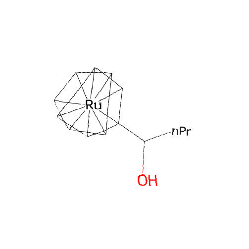 CCCC(O)[C]12[CH]3[CH]4[CH]5[CH]1[Ru]45321678[CH]2[CH]1[CH]6[CH]7[CH]28